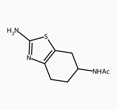 CC(=O)NC1CCc2nc(N)sc2C1